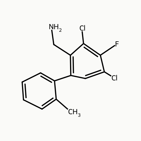 Cc1ccccc1-c1cc(Cl)c(F)c(Cl)c1CN